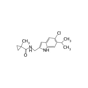 CC(C)c1cc2[nH]c(CNC(=O)C3(C)CC3)cc2cc1Cl